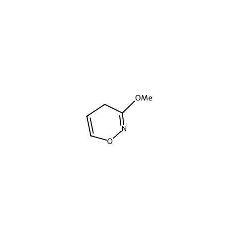 COC1=NOC=CC1